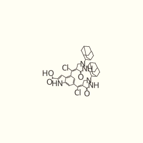 O=C1NN(C2C3CC4CC(C3)CC2C4)CC1=C(Cl)c1cc(C(Cl)=C2CN(C3C4CC5CC(C4)CC3C5)NC2=O)c2cc(C(=O)O)[nH]c2c1